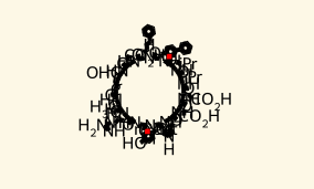 CCCCC[C@@H]1NC(=O)[C@H](CCCNC(=N)N)NC(=O)[C@H](C)NC(=O)CSC[C@@H](C=O)NC(=O)[C@H](CC(=O)O)NC(=O)[C@H](CCCCc2ccccc2)NC(=O)[C@H](Cc2ccc(-c3ccccc3)cc2)NC(=O)[C@H](CC(C)C)NC(=O)[C@H](C(C)C)NC(=O)[C@H](CCC(=O)O)NC(=O)[C@H](CC(=O)O)NC(=O)[C@H](Cc2c[nH]cn2)NC(=O)[C@H](Cc2ccc(O)cc2)NC1=O